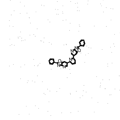 c1ccc(-c2nc3ncc(-c4cccc(-c5cnc6nc(-c7ccccc7)oc6c5)n4)cc3o2)cc1